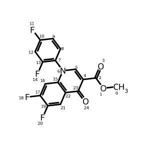 COC(=O)c1cn(-c2ccc(F)cc2F)c2cc(F)c(F)cc2c1=O